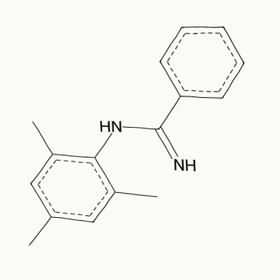 Cc1cc(C)c(NC(=N)c2ccccc2)c(C)c1